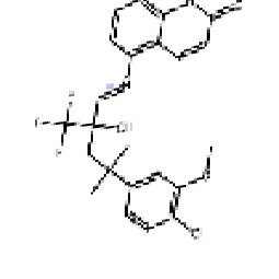 COc1cc(C(C)(C)CC(O)(/C=N/c2cccc3[nH]c(=O)ccc23)C(F)(F)F)ccc1Cl